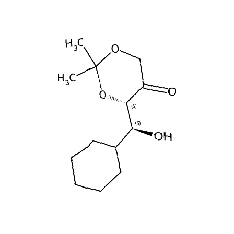 CC1(C)OCC(=O)[C@H]([C@@H](O)C2CCCCC2)O1